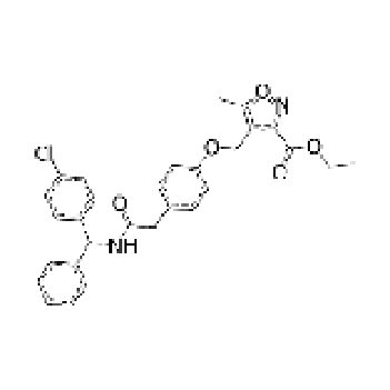 CCOC(=O)c1noc(C)c1COc1ccc(CC(=O)NC(c2ccccc2)c2ccc(Cl)cc2)cc1